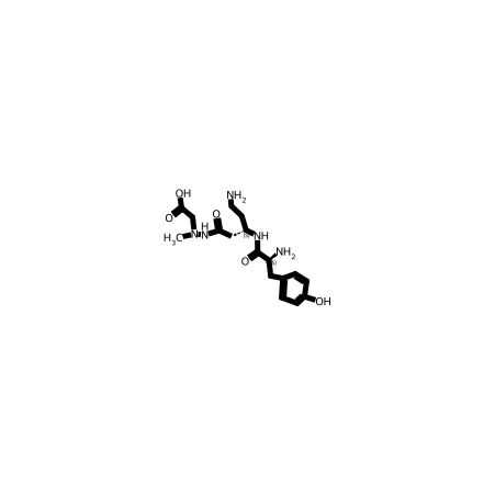 CN(CC(=O)O)NC(=O)C[C@H](CCN)NC(=O)[C@@H](N)Cc1ccc(O)cc1